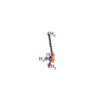 CCCCC/C=C/C/C=C/CCCCCCC/C=N/S(=O)(=O)c1cc2c(s1)S(=O)(=O)[C@@H](CCCOC)C[C@@H]2NCC